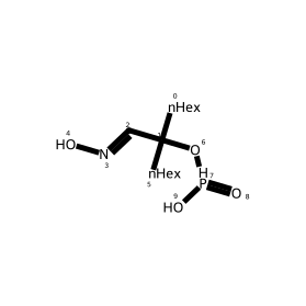 CCCCCCC(C=NO)(CCCCCC)O[PH](=O)O